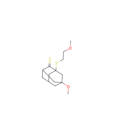 COCCSC12CC3CC(CC(OC)(C3)C1)C2=S